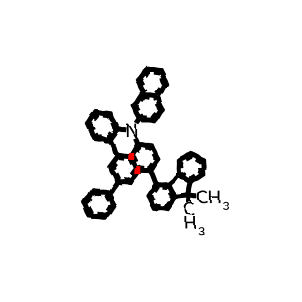 CC1(C)c2ccccc2-c2c(-c3ccc(N(c4ccc5ccccc5c4)c4ccccc4-c4cccc(-c5ccccc5)c4)cc3)cccc21